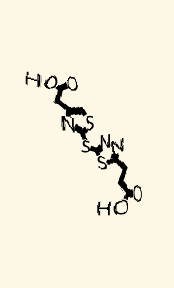 O=C(O)CCc1nnc(Sc2nc(CC(=O)O)cs2)s1